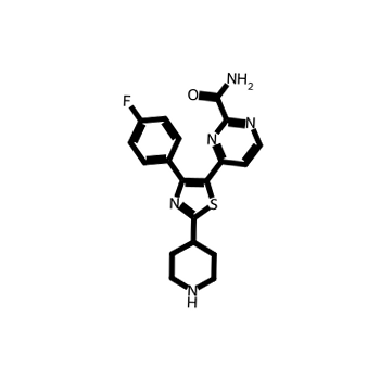 NC(=O)c1nccc(-c2sc(C3CCNCC3)nc2-c2ccc(F)cc2)n1